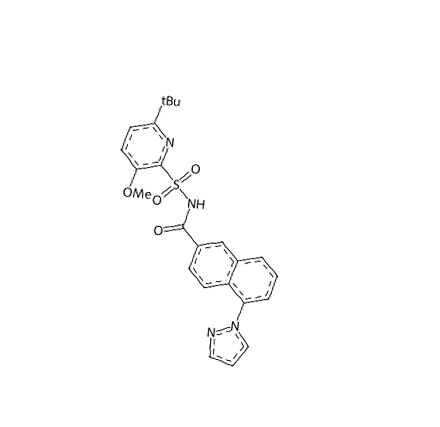 COc1ccc(C(C)(C)C)nc1S(=O)(=O)NC(=O)c1ccc2c(-n3cccn3)cccc2c1